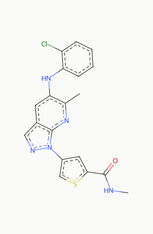 CNC(=O)c1cc(-n2ncc3cc(Nc4ccccc4Cl)c(C)nc32)cs1